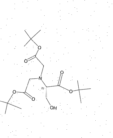 CC(C)(C)OC(=O)CN(CC(=O)OC(C)(C)C)[C@@H](CO)C(=O)OC(C)(C)C